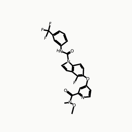 CON(C)C(=O)c1cc(Oc2ccc3c(ccn3C(=O)Nc3cccc(C(F)(F)F)c3)c2F)ccn1